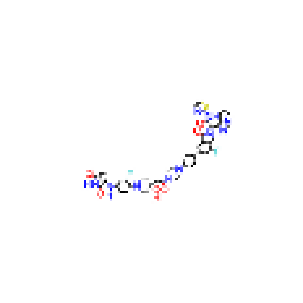 O=C1NC(=O)C2(Nc3ccc(N4CCC(O)(CC(=O)N5CCN(c6ccc(-c7cc(F)c8c(c7)C(=O)N(C(C(=O)Nc7nccs7)c7ncn9c7CCC9)C8)cc6)CC5)CC4)c(F)c3)CC1C2